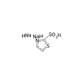 O=S(=O)(O)c1nccs1.[NaH].[NaH]